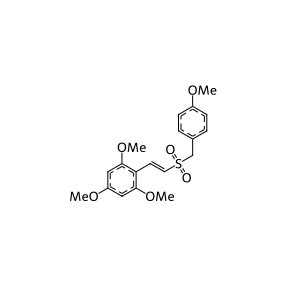 COc1ccc(CS(=O)(=O)C=Cc2c(OC)cc(OC)cc2OC)cc1